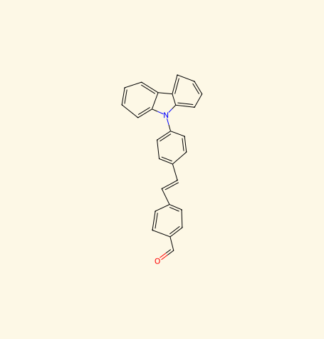 O=Cc1ccc(/C=C/c2ccc(-n3c4ccccc4c4ccccc43)cc2)cc1